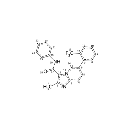 Cc1nc2ccc(-c3ccccc3C(F)(F)F)nn2c1C(=O)Nc1ccncc1